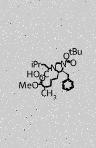 COC(=O)[C@H](C)CCC[C@@H]1[C@H](Cc2ccccc2)N(C(=O)OC(C)(C)C)CN1[C@H](CC(C)C)C(=O)O